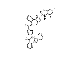 O=C(Nc1c(F)cc(F)cc1F)c1cc2c(s1)-c1ccccc1N(C(=O)c1ccc(NC(=O)c3cccnc3N3CC4(CCOCC4)C3)cc1)CC2